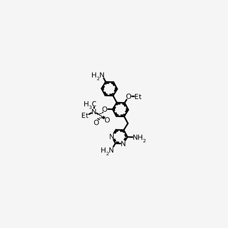 CCOc1cc(Cc2cnc(N)nc2N)cc(OS(=O)(=O)N(C)CC)c1-c1ccc(N)cc1